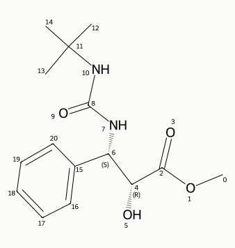 COC(=O)[C@H](O)[C@@H](NC(=O)NC(C)(C)C)c1ccccc1